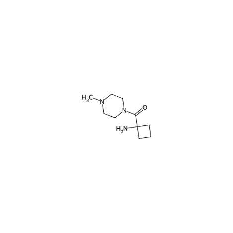 CN1CCN(C(=O)C2(N)CCC2)CC1